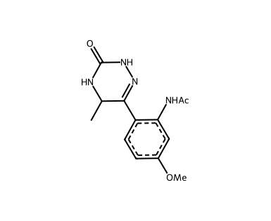 COc1ccc(C2=NNC(=O)NC2C)c(NC(C)=O)c1